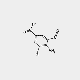 Nc1c(Br)cc([N+](=O)[O-])cc1N=O